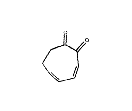 O=C1/C=C\C=C/CCC1=O